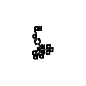 OCCOc1ccc(-c2nc(C(Cl)(Cl)Cl)nc(C(Cl)(Cl)Cl)n2)cc1